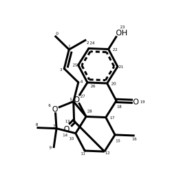 CC(C)=CCC12OC(C)(C)C3CC(C1=O)C(C)C1C(=O)c4cc(O)ccc4OC132